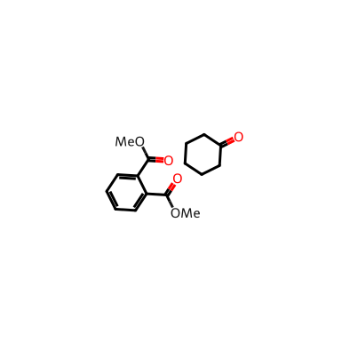 COC(=O)c1ccccc1C(=O)OC.O=C1CCCCC1